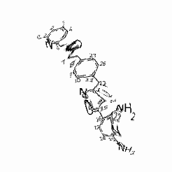 Cc1cccc(OCc2ccc(Cc3cc(-c4ccc(N)nc4N)on3)cc2)n1